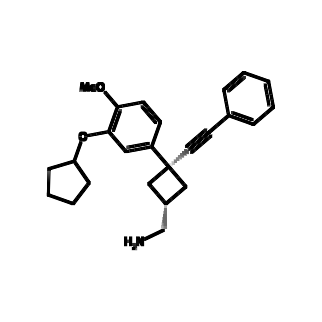 COc1ccc([C@]2(C#Cc3ccccc3)C[C@@H](CN)C2)cc1OC1CCCC1